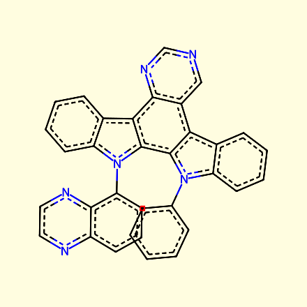 c1ccc(-n2c3ccccc3c3c4cncnc4c4c5ccccc5n(-c5cccc6nccnc56)c4c32)cc1